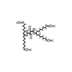 CCCCCCCCCCCCCCCCCC(CCCCCCCCCCCCCCCC)OC(=O)C(O)C(O)C(=O)OC(CCCCCCCCCCCCCCCC)CCCCCCCCCCCCCCCCC